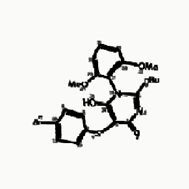 CCCCc1nc(=O)c(Sc2ccc(Br)cc2)c(O)n1-c1c(OC)cccc1OC